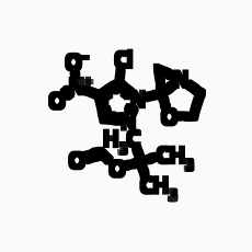 CC(C)(C)OC=O.O=[N+]([O-])c1cnn(C23CN2CCO3)c1Cl